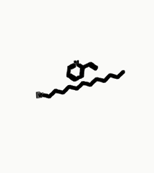 C=Cc1ccccn1.CCCCCCCCCCCCBr